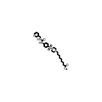 COC(=O)CCCCCCCCN1CCN(S(=O)(=O)c2ccc(NC(=O)NCc3cccnc3)cc2)CC1